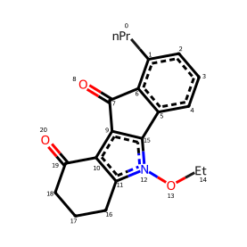 CCCc1cccc2c1C(=O)c1c3c(n(OCC)c1-2)CCCC3=O